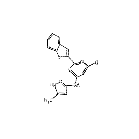 Cc1cc(Nc2cc(Cl)nc(-c3cc4ccccc4o3)n2)n[nH]1